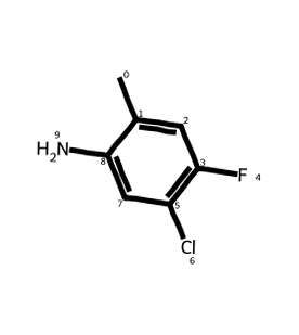 Cc1cc(F)c(Cl)cc1N